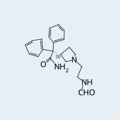 NC(=O)C(c1ccccc1)(c1ccccc1)[C@@H]1CCN(CCNC=O)C1